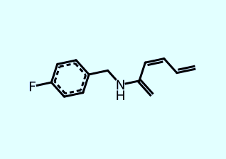 C=C/C=C\C(=C)NCc1ccc(F)cc1